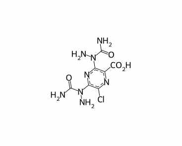 NC(=O)N(N)c1nc(N(N)C(N)=O)c(C(=O)O)nc1Cl